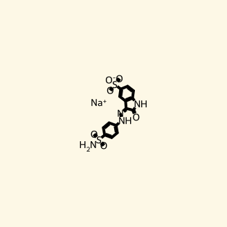 NS(=O)(=O)c1ccc(NN=C2C(=O)Nc3ccc(S(=O)(=O)[O-])cc32)cc1.[Na+]